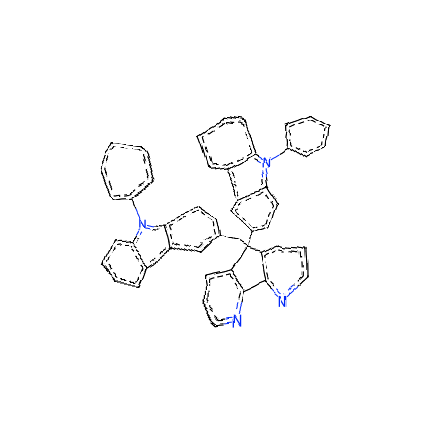 c1ccc(-n2c3ccccc3c3cc(C4(c5ccc6c(c5)c5ccccc5n6-c5ccccc5)c5cccnc5-c5ncccc54)ccc32)cc1